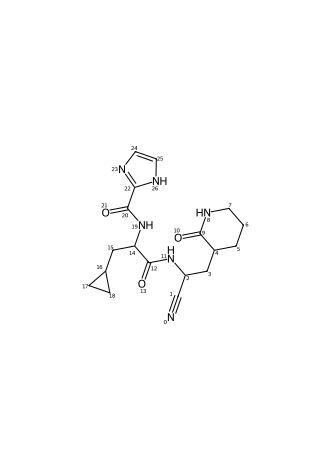 N#CC(CC1CCCNC1=O)NC(=O)C(CC1CC1)NC(=O)c1ncc[nH]1